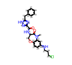 CN1C(=O)C(NC(=O)c2n[nH]c(Cc3ccccc3)n2)COc2ccc(NCCCCl)cc21